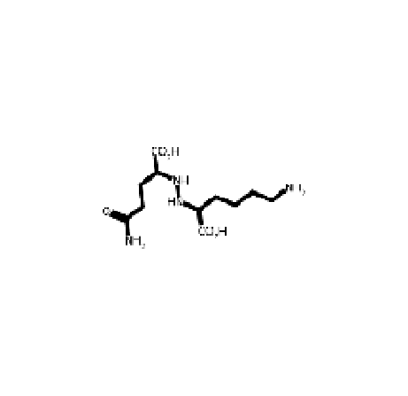 NCCCCC(NNC(CCC(N)=O)C(=O)O)C(=O)O